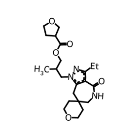 CCc1nn(CC(C)COC(=O)C2CCOC2)c2c1C(=O)NCC1(CCOCC1)C2